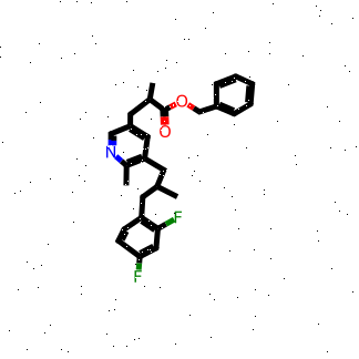 Cc1ncc(CC(C)C(=O)OCc2ccccc2)cc1CC(C)Cc1ccc(F)cc1F